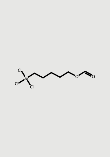 O=COCCCCC[Si](Cl)(Cl)Cl